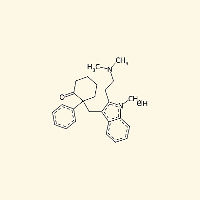 CN(C)CCc1c(CC2(c3ccccc3)CCCCC2=O)c2ccccc2n1C.Cl